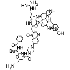 CC[C@H](C)[C@H](NC(=O)c1ccccc1)C(=O)N[C@@H](CCCCN)C(=O)N1CCN(c2ccc3ncn(CC(=O)N[C@@H](CCCNC(=N)N)C(=O)N[C@@H](Cc4c[nH]cn4)C(=O)N[C@@H](Cc4ccc(O)cc4)C(=O)NC)c(=O)c3c2)CC1